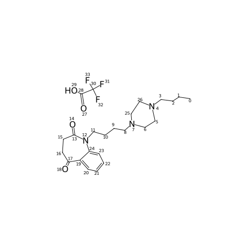 CCCCN1CCN(CCCCN2C(=O)CCC(=O)c3ccccc32)CC1.O=C(O)C(F)(F)F